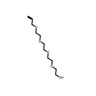 C=CCOCCOCCOCCOCCO